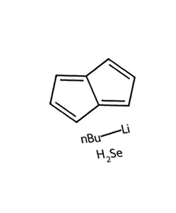 C1=CC2=CC=CC2=C1.[Li][CH2]CCC.[SeH2]